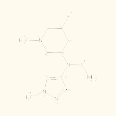 CN1CC(F)CC(N(SN)c2cnn(C)c2)C1